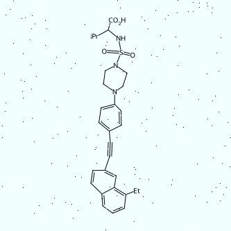 CCc1cccc2ccc(C#Cc3ccc(N4CCN(S(=O)(=O)NC(C(=O)O)C(C)C)CC4)cc3)cc12